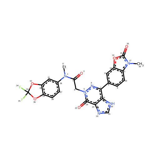 CCN(C(=O)Cn1nc(-c2ccc3c(c2)oc(=O)n3C)c2[nH]cnc2c1=O)c1ccc2c(c1)OC(F)(F)O2